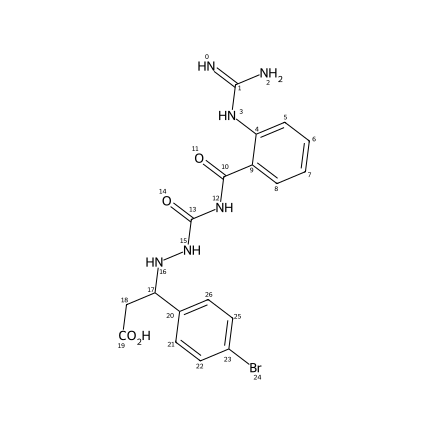 N=C(N)Nc1ccccc1C(=O)NC(=O)NNC(CC(=O)O)c1ccc(Br)cc1